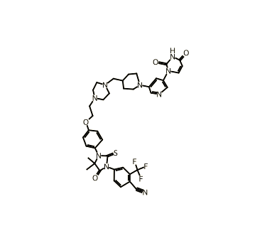 CC1(C)C(=O)N(c2ccc(C#N)c(C(F)(F)F)c2)C(=S)N1c1ccc(OCCN2CCN(CC3CCN(c4cncc(-n5ccc(=O)[nH]c5=O)c4)CC3)CC2)cc1